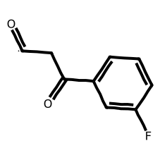 O=[C]CC(=O)c1cccc(F)c1